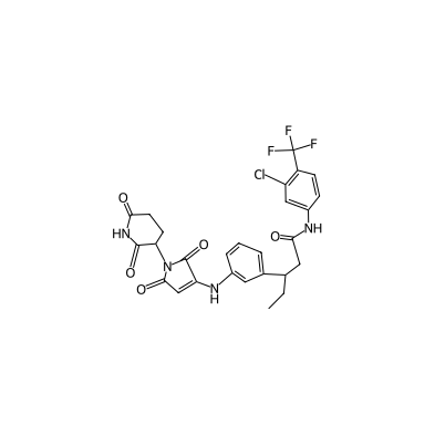 CCC(CC(=O)Nc1ccc(C(F)(F)F)c(Cl)c1)c1cccc(NC2=CC(=O)N(C3CCC(=O)NC3=O)C2=O)c1